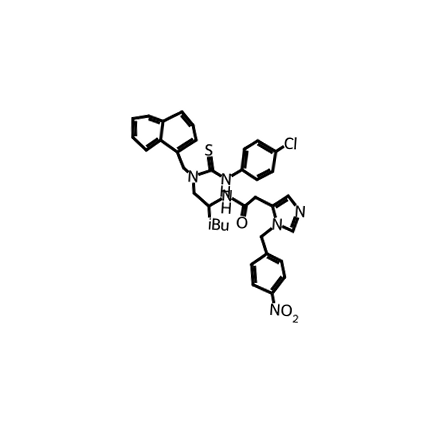 CCC(C)C(CN(Cc1cccc2ccccc12)C(=S)Nc1ccc(Cl)cc1)NC(=O)Cc1cncn1Cc1ccc([N+](=O)[O-])cc1